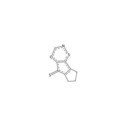 S=c1c2c(c3sncoc1=3)CCC2